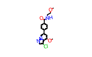 COCCNC(=O)c1ccc(-c2cc(OC)c3c(Cl)cnn3c2)cc1